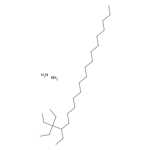 CCCCCCCCCCCCCCCCC(CC)C(CC)(CC)CC.N.N